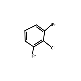 CC(C)c1cccc(C(C)C)c1Cl